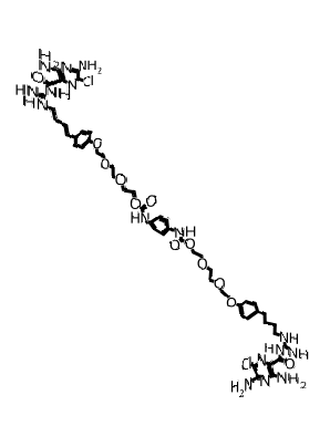 N=C(NCCCCc1ccc(OCCOCCOCCOC(=O)Nc2ccc(NC(=O)OCCOCCOCCOc3ccc(CCCCNC(=N)NC(=O)c4nc(Cl)c(N)nc4N)cc3)cc2)cc1)NC(=O)c1nc(Cl)c(N)nc1N